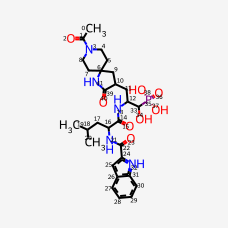 CC(=O)N1CCC2(CC1)CC(CC(NC(=O)C(CC(C)C)NC(=O)c1cc3ccccc3[nH]1)C(O)P(=O)(O)O)C(=O)N2